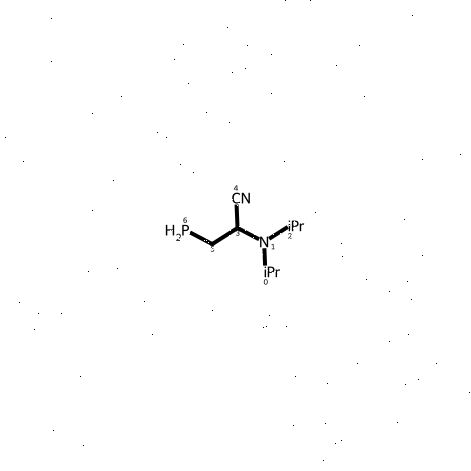 CC(C)N(C(C)C)C(C#N)CP